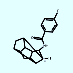 O=C(NC1C2C3CC4C5CC(C42)[C@H]1C53)c1ccc(F)cc1